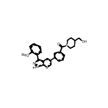 COc1ccccc1-c1n[nH]c2ncc(-c3cccc(C(=O)N4CCC(CO)CC4)c3)cc12